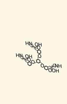 O=C(O)[C@@H](Cc1cccc(OCc2cc(COc3cccc(C[C@H](C(=O)O)[C@H]4CCNC4)c3)cc(COc3cccc(C[C@H](C(=O)O)[C@H]4CCNC4)c3)c2)c1)[C@H]1CCNC1